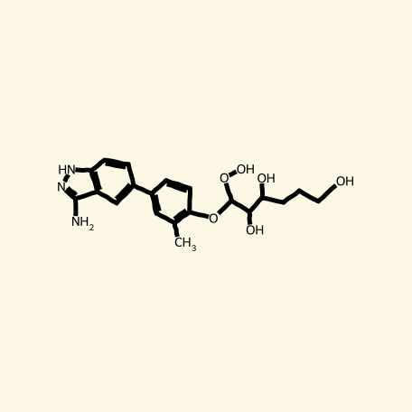 Cc1cc(-c2ccc3[nH]nc(N)c3c2)ccc1OC(OO)C(O)C(O)CCCO